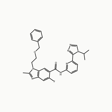 Cc1nc2cc(F)c(C(=O)Nc3cccc(-c4nncn4C(C)C)n3)cc2n1CCOCc1ccccc1